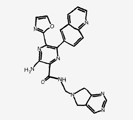 Nc1nc(-c2ncco2)c(-c2ccc3ncccc3c2)nc1C(=O)NCN1Cc2cncnc2C1